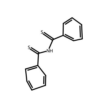 S=C(NC(=S)c1ccccc1)c1ccccc1